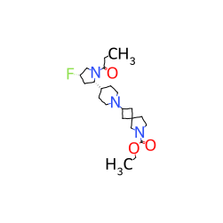 CCOC(=O)N1CCC2(CC(N3CCC([C@@H]4C[C@H](F)CN4C(=O)CC)CC3)C2)C1